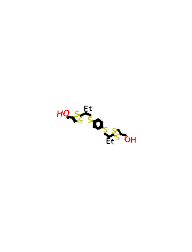 CCC(CSc1ccc(SCC(CC)C2SCC(CO)S2)cc1)C1SCC(CO)S1